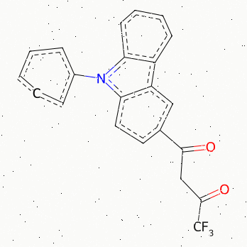 O=C(CC(=O)C(F)(F)F)c1ccc2c(c1)c1ccccc1n2-c1ccccc1